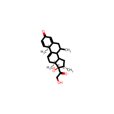 CC1CC2=CC(=O)C=C[C@]2(C)C2=CC[C@@]3(C)C(C[C@H](C)[C@]3(O)C(=O)CO)C21